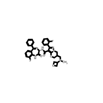 CN(CC1COc2c(C(=O)N[C@H]3N=C(c4ccccc4)c4cccc(F)c4NC3=O)c(-c3ccccc3F)nn2C1)C1COC1